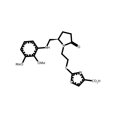 COc1cccc(NC[C@H]2CCC(=O)N2CCSc2nc(C(=O)O)cs2)c1OC